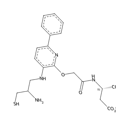 NC(CS)CNc1ccc(-c2ccccc2)nc1OCC(=O)N[C@@H](CC(=O)O)C(=O)O